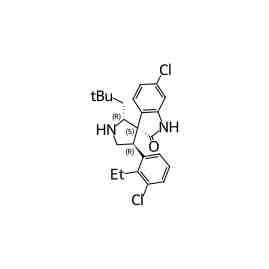 CCc1c(Cl)cccc1[C@H]1CN[C@H](CC(C)(C)C)[C@]12C(=O)Nc1cc(Cl)ccc12